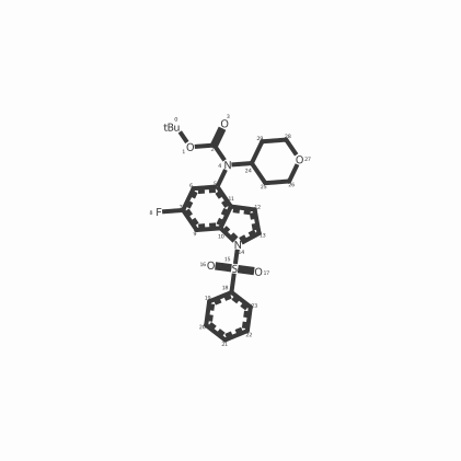 CC(C)(C)OC(=O)N(c1cc(F)cc2c1ccn2S(=O)(=O)c1ccccc1)C1CCOCC1